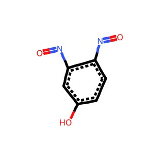 O=Nc1ccc(O)cc1N=O